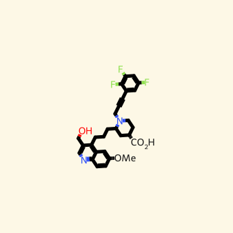 COc1ccc2ncc(CO)c(CCCC3CC(C(=O)O)CCN3CC#Cc3cc(F)cc(F)c3F)c2c1